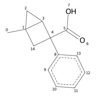 CC12CC1C(C(=O)O)(c1ccccc1)C2